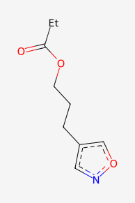 [CH2]CC(=O)OCCCc1cnoc1